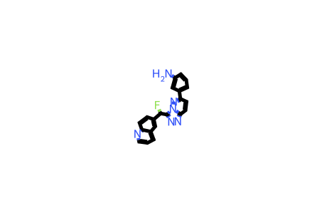 Nc1cccc(-c2ccc3nnc(C(F)c4ccc5ncccc5c4)n3n2)c1